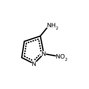 Nc1ccnn1[N+](=O)[O-]